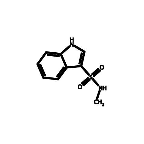 CNS(=O)(=O)c1c[nH]c2ccccc12